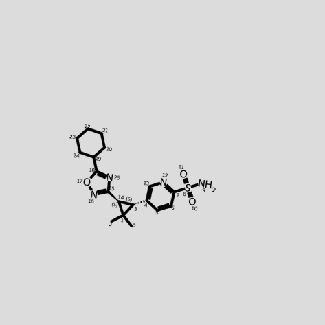 CC1(C)[C@@H](c2ccc(S(N)(=O)=O)nc2)[C@@H]1c1noc(C2CCCCC2)n1